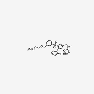 COCCOCc1cccc(S(=O)(=O)n2cc(CN(C)C(=O)OC(C)(C)C)cc2-c2ccccc2F)c1